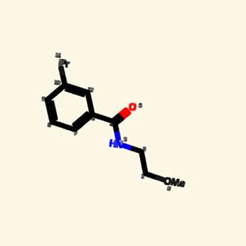 COCCNC(=O)c1cccc(C(C)C)c1